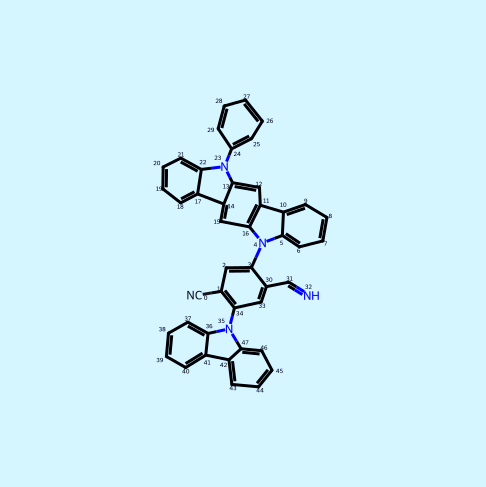 N#Cc1cc(-n2c3ccccc3c3cc4c(cc32)c2ccccc2n4-c2ccccc2)c(C=N)cc1-n1c2ccccc2c2ccccc21